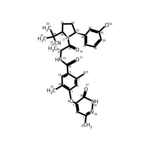 Cc1cc(Oc2cc(F)c(C(=O)N[C@H](C)C(=O)N3C(C(C)(C)C#N)CC[C@H]3c3cccc(Cl)c3)cc2C)c(=O)[nH]n1